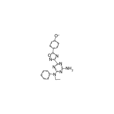 CCN(c1ccccc1)c1nc(N)nc(-c2noc(-c3ccc(OC)cc3)n2)n1